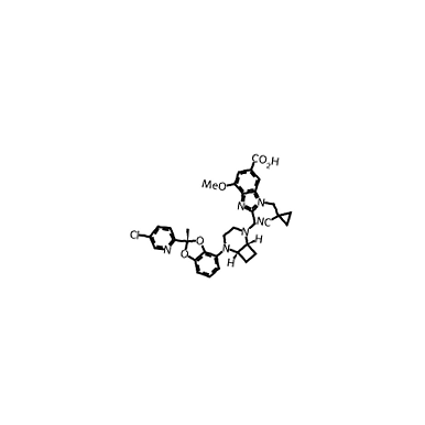 COc1cc(C(=O)O)cc2c1nc(CN1CCN(c3cccc4c3O[C@@](C)(c3ccc(Cl)cn3)O4)[C@H]3CC[C@H]31)n2CC1(C#N)CC1